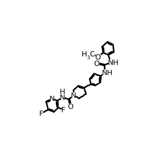 COc1ccccc1NC(=O)Nc1ccc(C2=CCN(C(=O)Nc3ncc(F)cc3F)CC2)cc1